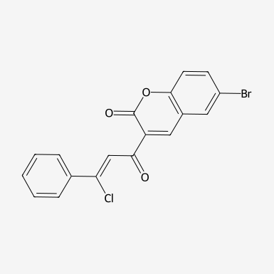 O=C(C=C(Cl)c1ccccc1)c1cc2cc(Br)ccc2oc1=O